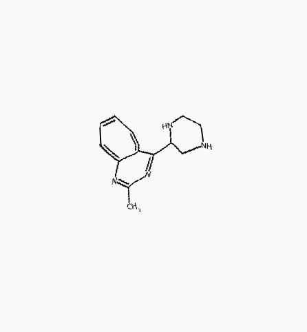 Cc1nc(C2CNCCN2)c2ccccc2n1